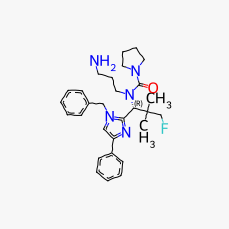 CC(C)(CF)[C@H](c1nc(-c2ccccc2)cn1Cc1ccccc1)N(CCCN)C(=O)N1CCCC1